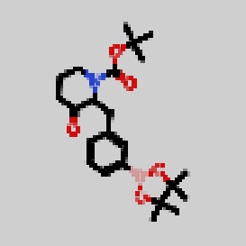 CC(C)(C)OC(=O)N1CCCC(=O)C1Cc1cccc(B2OC(C)(C)C(C)(C)O2)c1